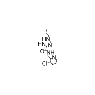 CCCN/C=N\C(=N)C(=O)NCc1ncccc1Cl